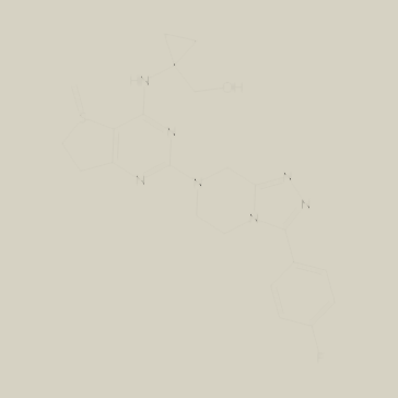 C=S1CCc2nc(N3CCn4c(nnc4-c4ccc(F)cc4)C3)nc(NC3(CO)CC3)c21